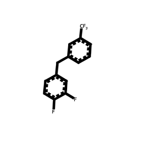 Fc1ccc(Cc2cc[c]c(C(F)(F)F)c2)cc1F